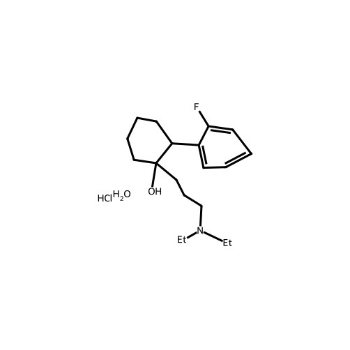 CCN(CC)CCCC1(O)CCCCC1c1ccccc1F.Cl.O